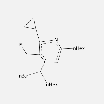 CCCCCCc1cc(C(CCCC)CCCCCC)c(CF)c(C2CC2)n1